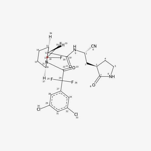 N#C[C@H](C[C@H]1CCNC1=O)NC(=O)[C@H]1[C@@H]2CC[C@@H](CC2(F)F)N1C(=O)C(F)(F)c1cc(Cl)cc(Cl)c1